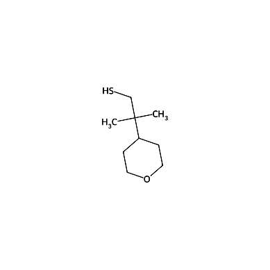 CC(C)(CS)C1CCOCC1